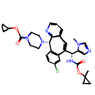 Cn1cncc1[C@H](NC(=O)OC1(C)CC1)C1=Cc2cccnc2[C@@H](N2CCN(C(=O)OC3CC3)CC2)c2ccc(Cl)cc21